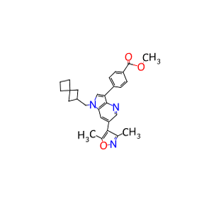 COC(=O)c1ccc(-c2cn(CC3CC4(CCC4)C3)c3cc(-c4c(C)noc4C)cnc23)cc1